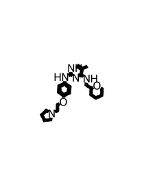 C=C(C)/C(=N\C(=N)Nc1ccc(OCCN2CCCC2)cc1)NCC1CCCCO1